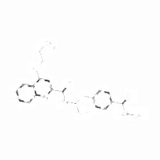 CCC[C@@H](NC(=O)c1cc(OCCC(F)(F)F)c2ccccc2n1)Oc1ccc(C(=O)NO)cc1